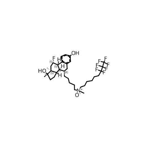 C[C@]1(O)CC[C@H]2[C@@H]3[C@H](CCCCC[N+](C)([O-])CCCCCCC(F)(F)C(F)(F)C(F)(F)F)Cc4cc(O)ccc4[C@H]3[C@@H](F)C[C@@]21C